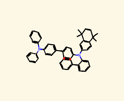 CC1(C)CCC(C)(C)c2cc(N(c3ccc(-c4ccc(N(c5ccccc5)c5ccccc5)cc4)cc3)c3ccccc3-c3ccccc3)ccc21